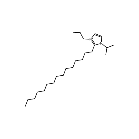 CCCCCCCCCCCCCCCc1n(C(C)C)cc[n+]1CCC